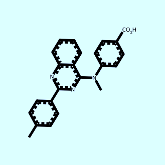 Cc1ccc(-c2nc(N(C)c3ccc(C(=O)O)cc3)c3ccccc3n2)cc1